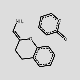 NC=C1CCc2ccccc2O1.O=c1cccco1